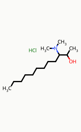 CCCCCCCCCC(C(C)O)N(C)C.Cl